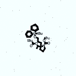 CC(OC(=O)C(C)(C)C)C1(CCCO[Si](c2ccccc2)(c2ccccc2)C(C)(C)C)CCCN1C(=O)OC(C)(C)C